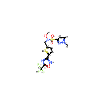 CON(Cc1ccc(-c2noc(C(F)(F)F)n2)s1)S(=O)(=O)c1ccn(C)n1